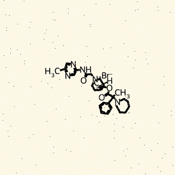 Cc1cnc(NC(=O)C[N+]23CCC(CC2)[C@@H](OC(=O)C(C)(c2ccccc2)N2CCCCCC2)C3)cn1.[Br-]